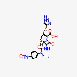 NC(C(=O)NC1C(=O)N2C(C(=O)O)=C(CSc3c[nH]nn3)CS[C@@H]12)c1ccc(NC=O)cc1